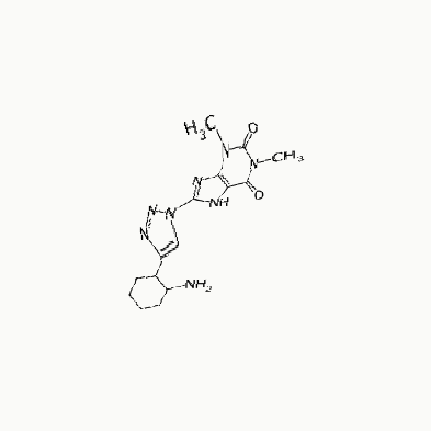 Cn1c(=O)c2[nH]c(-n3cc(C4CCCCC4N)nn3)nc2n(C)c1=O